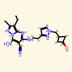 CCc1c(C)nn2c(N)c(C#N)c(NCCc3ccn(CC4CC(=O)C4)n3)nc12